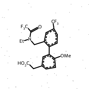 CCN(Cc1cc(C(F)(F)F)ccc1-c1cc(CC(=O)O)ccc1OC)C(=O)C(F)(F)F